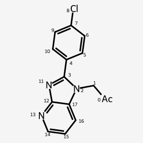 CC(=O)Cn1c(-c2ccc(Cl)cc2)nc2ncccc21